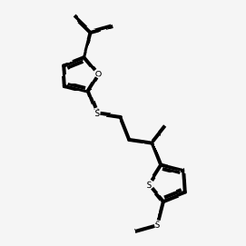 CSc1ccc(C(C)CCSc2ccc(C(C)C)o2)s1